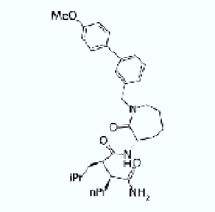 CCC[C@H](C(N)=O)[C@@H](CC(C)C)C(=O)N[C@H]1CCCCN(Cc2cccc(-c3ccc(OC)cc3)c2)C1=O